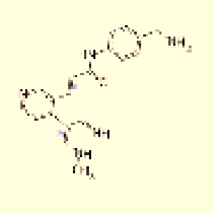 CN/C=C(\C=N)c1ccncc1/C=C/C(=O)Nc1ccc(CN)cc1